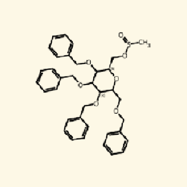 CS(=O)OC[C@H]1OC(COCc2ccccc2)[C@@H](OCc2ccccc2)C(OCc2ccccc2)C1OCc1ccccc1